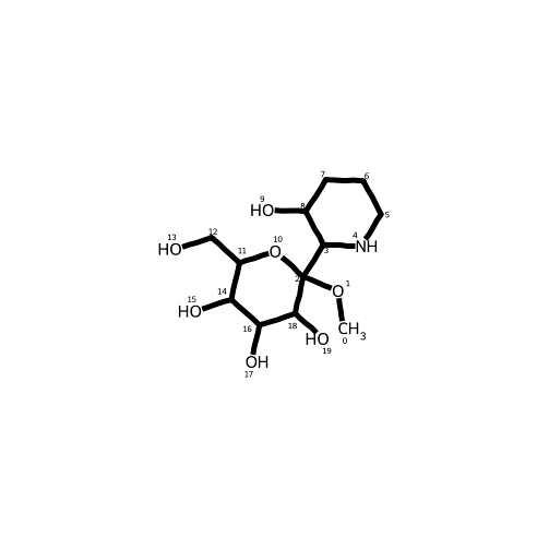 COC1(C2NCCCC2O)OC(CO)C(O)C(O)C1O